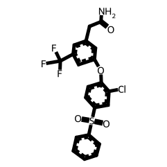 NC(=O)Cc1cc(Oc2ccc(S(=O)(=O)c3ccccc3)cc2Cl)cc(C(F)(F)F)c1